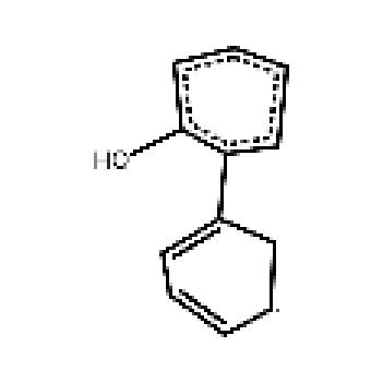 Oc1ccccc1C1=CC=C[CH]C1